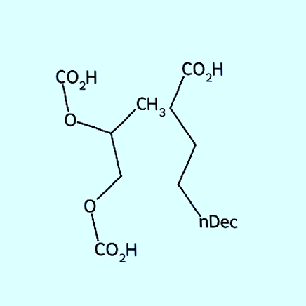 CC(COC(=O)O)OC(=O)O.CCCCCCCCCCCCCC(=O)O